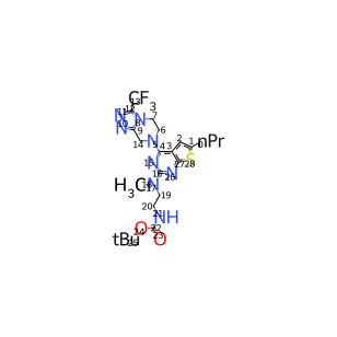 CCCc1cc2c(N3CCn4c(nnc4C(F)(F)F)C3)nc(N(C)CCNC(=O)OC(C)(C)C)nc2s1